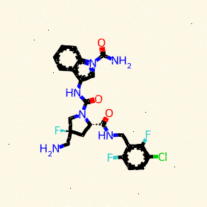 NC[C@@]1(F)C[C@@H](C(=O)NCc2c(F)ccc(Cl)c2F)N(C(=O)Nc2cn(C(N)=O)c3ccccc23)C1